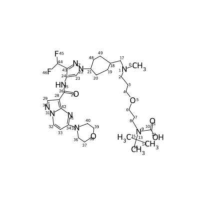 CN(CCCOCCCN(C(=O)O)C(C)(C)C)CC1CCC(n2cc(NC(=O)c3cnn4ccc(N5CCOCC5)nc34)c(C(F)F)n2)CC1